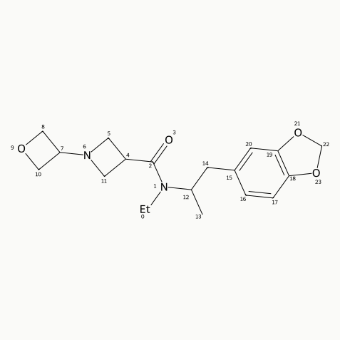 CCN(C(=O)C1CN(C2COC2)C1)C(C)Cc1ccc2c(c1)OCO2